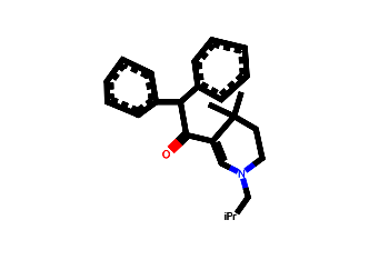 CC(C)CN1C=C(C(=O)C(c2ccccc2)c2ccccc2)C(C)(C)CC1